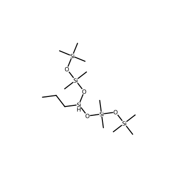 CCC[SiH](O[Si](C)(C)O[Si](C)(C)C)O[Si](C)(C)O[Si](C)(C)C